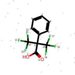 O=C(O)C(c1ccccc1)(C(F)(F)F)C(F)(F)F